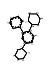 c1ccc(-c2cc(C3CCCCC3)ccc2C2CCCCC2)cc1